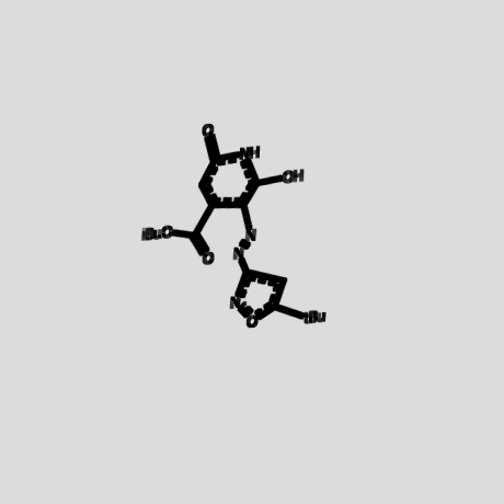 CC(C)COC(=O)c1cc(=O)[nH]c(O)c1N=Nc1cc(C(C)(C)C)on1